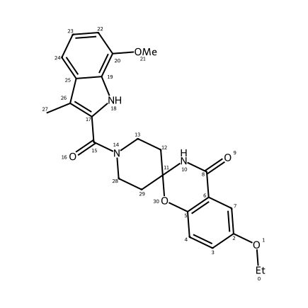 CCOc1ccc2c(c1)C(=O)NC1(CCN(C(=O)c3[nH]c4c(OC)cccc4c3C)CC1)O2